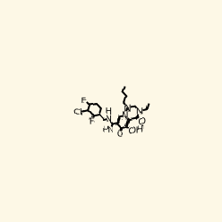 CCCCN1CN(CC)C(=O)c2c(O)c(=O)c(C(=N)NCC3CCC(F)C(Cl)C3F)cn21